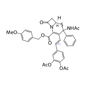 COc1ccc(COC(=O)C2=C(/C=C/c3ccc(OC(C)=O)c(OC(C)=O)c3)C(NC(C)=O)(c3ccccc3)S[C@@H]3CC(=O)N23)cc1